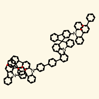 c1ccc(-c2ccc(-c3ccccc3N(c3ccc(-c4ccc(-c5cccc6c5c5cccc7c5n6-c5ccccc5C75c6ccccc6-c6ccc(N(c7ccccc7)c7ccccc7-c7ccc(-c8ccccc8)cc7)cc65)cc4)cc3)c3ccc4c(c3)C3(c5ccccc5-4)c4ccccc4-n4c5ccccc5c5cccc3c54)cc2)cc1